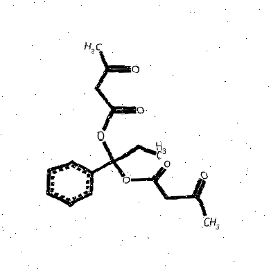 CCC(OC(=O)CC(C)=O)(OC(=O)CC(C)=O)c1ccccc1